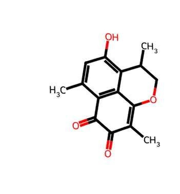 CC1=C2OCC(C)c3c(O)cc(C)c(c32)C(=O)C1=O